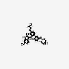 O=C(O)CCc1cccc(C(Nc2ccc(CN3CCNCC3)cc2)=C2C(=O)Nc3cc(Br)ccc32)c1